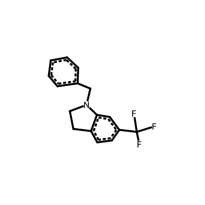 FC(F)(F)c1ccc2c(c1)N(Cc1ccccc1)CC2